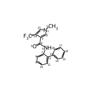 Cn1cc(C(=O)Nc2ccccc2-c2ccccc2)c(C(F)(F)F)c1